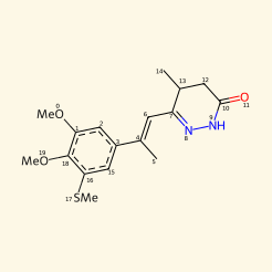 COc1cc(C(C)=CC2=NNC(=O)CC2C)cc(SC)c1OC